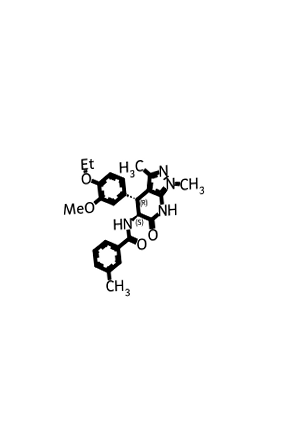 CCOc1ccc([C@@H]2c3c(C)nn(C)c3NC(=O)[C@H]2NC(=O)c2cccc(C)c2)cc1OC